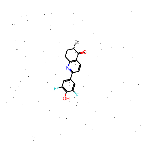 CCC1CCc2nc(-c3cc(F)c(O)c(F)c3)ccc2C1=O